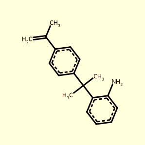 C=C(C)c1ccc(C(C)(C)c2ccccc2N)cc1